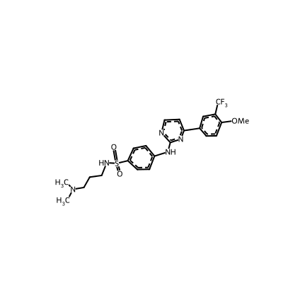 COc1ccc(-c2ccnc(Nc3ccc(S(=O)(=O)NCCCN(C)C)cc3)n2)cc1C(F)(F)F